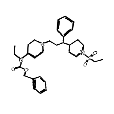 CCN(C(=O)OCc1ccccc1)C1CCN(CCC(c2ccccc2)C2CCN(S(=O)(=O)CC)CC2)CC1